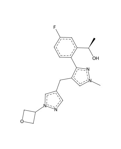 C[C@@H](O)c1cc(F)ccc1-c1nn(C)cc1Cc1cnn(C2COC2)c1